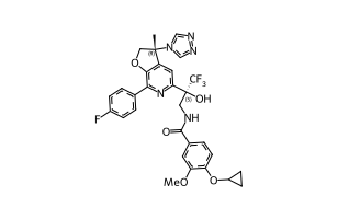 COc1cc(C(=O)NC[C@](O)(c2cc3c(c(-c4ccc(F)cc4)n2)OC[C@]3(C)n2cnnc2)C(F)(F)F)ccc1OC1CC1